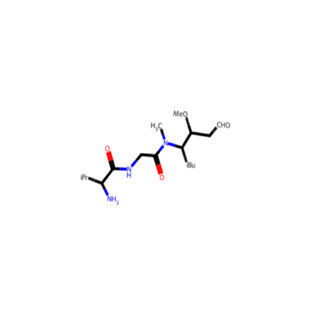 CCC(C)C(C(CC=O)OC)N(C)C(=O)CNC(=O)C(N)C(C)C